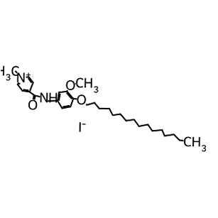 CCCCCCCCCCCCCCCCOc1ccc(CNC(=O)c2cc[n+](C)cc2)cc1OC.[I-]